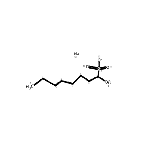 CCCCCCCC(O)S(=O)(=O)[O-].[Na+]